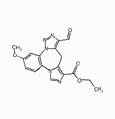 CCOC(=O)c1ncn2c1Cc1c(C=O)nnn1-c1cc(OC)ccc1-2